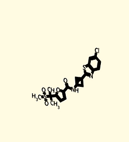 CC(C)(c1ccc(C(=O)NC23CC(c4nc5ccc(Cl)cc5s4)(C2)C3)o1)S(C)(=O)=O